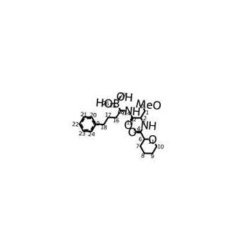 COCC(NC(=O)C1CCCCO1)C(=O)N[C@@H](CCCc1ccccc1)B(O)O